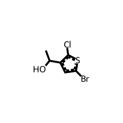 CC(O)c1cc(Br)sc1Cl